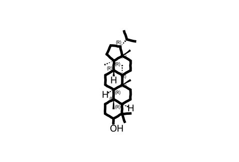 CC(C)[C@H]1CC[C@]2(C)[C@H]3CC[C@@H]4[C@@]5(C)CCC(O)C(C)(C)[C@@H]5CC[C@@]4(C)[C@]3(C)CC[C@@]12C